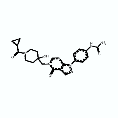 NC(=O)Nc1ccc(-n2ncc3c(=O)n(CC4(O)CCN(C(=O)C5CC5)CC4)cnc32)cc1